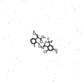 CO/C=C(/C(=O)OC)c1cccc(C)c1CO/N=C(\C)c1c(Cl)cc(OC)cc1C(F)(F)F